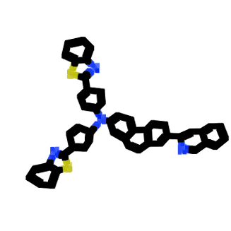 c1ccc2cc(-c3ccc4c(ccc5cc(N(c6ccc(-c7nc8ccccc8s7)cc6)c6ccc(-c7nc8ccccc8s7)cc6)ccc54)c3)ncc2c1